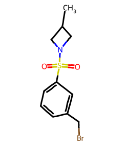 CC1CN(S(=O)(=O)c2cccc(CBr)c2)C1